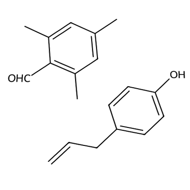 C=CCc1ccc(O)cc1.Cc1cc(C)c(C=O)c(C)c1